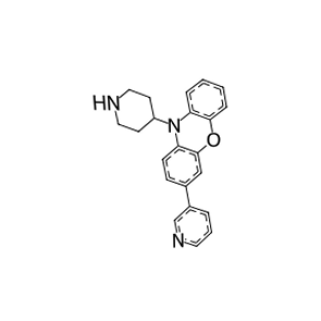 c1cncc(-c2ccc3c(c2)Oc2ccccc2N3C2CCNCC2)c1